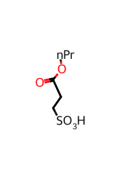 CCCOC(=O)CCS(=O)(=O)O